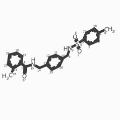 Cc1ccc(S(=O)(=O)NCc2ccc(CNC(=O)c3ccccc3C)cc2)cc1